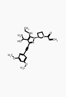 C=CC(=O)N1CC[C@H](n2nc(C#Cc3cc(OC)cc(OC)c3)c(C(N)O)c2NCC)C1